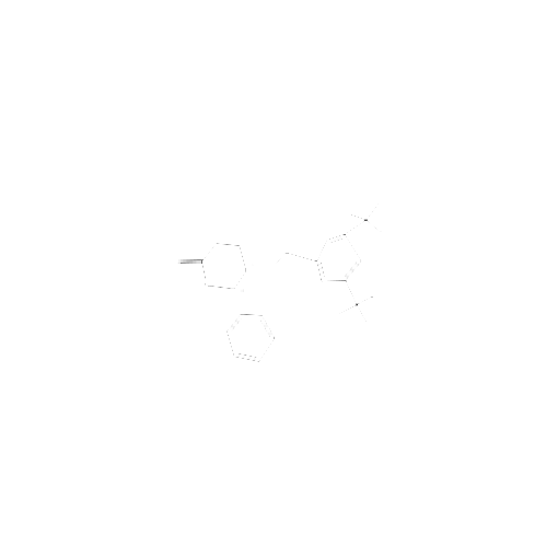 O=C1CC[C@H](OCc2cc(C(F)(F)F)cc(C(F)(F)F)c2)[C@H](c2ccccc2)N1